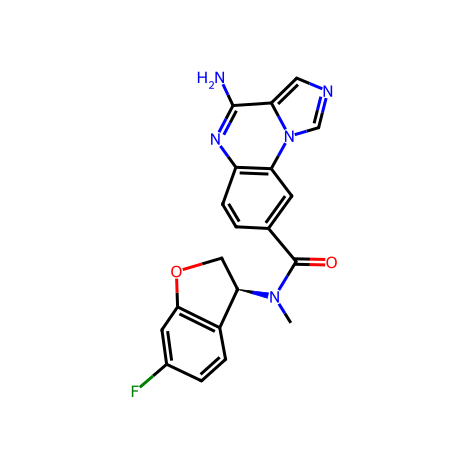 CN(C(=O)c1ccc2nc(N)c3cncn3c2c1)[C@@H]1COc2cc(F)ccc21